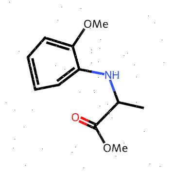 COC(=O)C(C)Nc1ccccc1OC